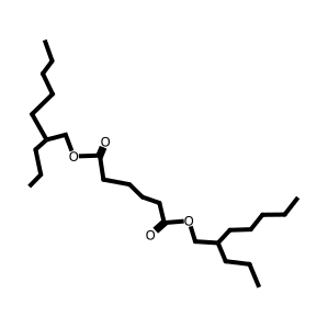 CCCCCC(CCC)COC(=O)CCCCC(=O)OCC(CCC)CCCCC